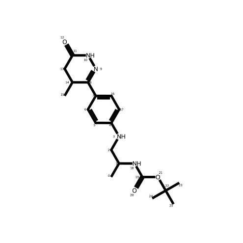 CC(CNc1ccc(C2=NNC(=O)CC2C)cc1)NC(=O)OC(C)(C)C